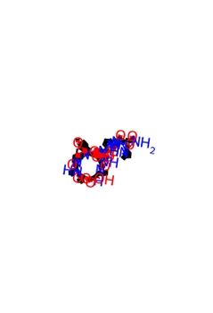 C=C1CCC(C(=O)N[C@H](CCC(N)=O)C(=O)N(C)[C@@H](C)C(=O)N2CCC[C@H]2C(=O)N(C)[C@H](CC(C)C)C(=O)N[C@H]2C(=O)N[C@@H]([C@@H](C)CC)[C@@H](O)CC(=O)O[C@@H](C(C)C)C(=O)N[C@@H](CC(C)C)C(=O)N3CCC[C@H]3C(=O)N(C)[C@@H](Cc3ccc(OC)cc3)C(=O)O[C@H]2C)N1